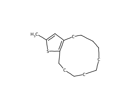 Cc1cc2c(s1)CCCCCCCCCC2